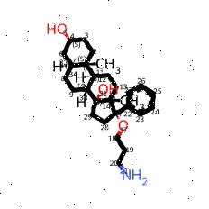 C[C@]12CC[C@H](O)C[C@@H]1CC[C@@H]1[C@@H]2CC[C@]2(C)[C@@](OCCCN)(c3ccccc3)CC[C@]12O